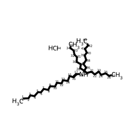 CCCCCCCCCCCCCCCCC=CNC(CCCCCCCC)(CCCCCCCC)CCCCCCCC.Cl